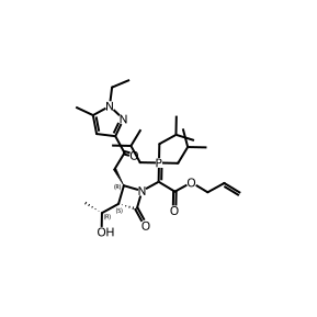 C=CCOC(=O)C(N1C(=O)[C@H]([C@@H](C)O)[C@H]1CC(=O)c1cc(C)n(CC)n1)=P(CC(C)C)(CC(C)C)CC(C)C